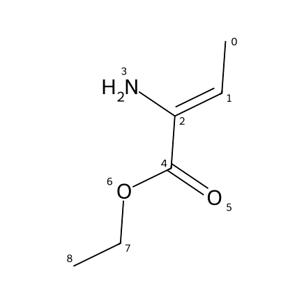 C/C=C(\N)C(=O)OCC